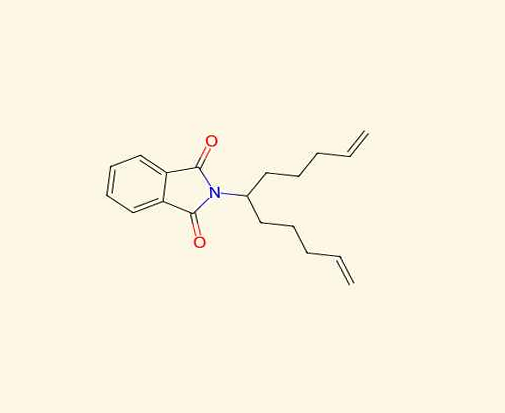 C=CCCCC(CCCC=C)N1C(=O)c2ccccc2C1=O